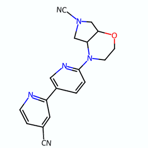 N#Cc1ccnc(-c2ccc(N3CCOC4CN(C#N)CC43)nc2)c1